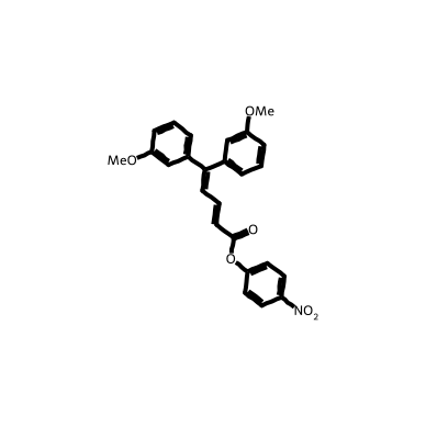 COc1cccc(C(=C/C=C/C(=O)Oc2ccc([N+](=O)[O-])cc2)c2cccc(OC)c2)c1